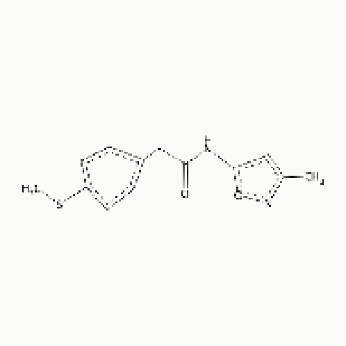 CSc1ccc(CC(=O)Nc2cc(C)no2)cc1